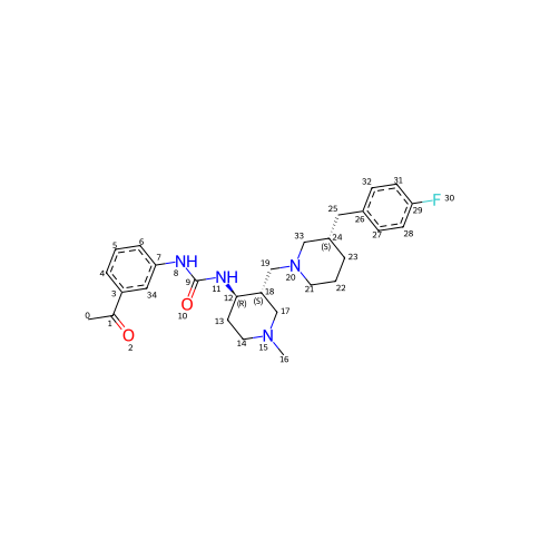 CC(=O)c1cccc(NC(=O)N[C@@H]2CCN(C)C[C@H]2CN2CCC[C@@H](Cc3ccc(F)cc3)C2)c1